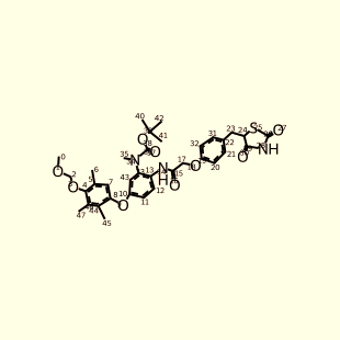 COCOc1c(C)cc(Oc2ccc(NC(=O)COc3ccc(CC4SC(=O)NC4=O)cc3)c(N(C)C(=O)OC(C)(C)C)c2)c(C)c1C